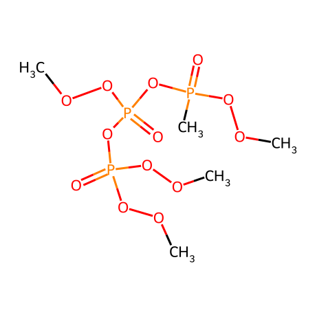 COOP(C)(=O)OP(=O)(OOC)OP(=O)(OOC)OOC